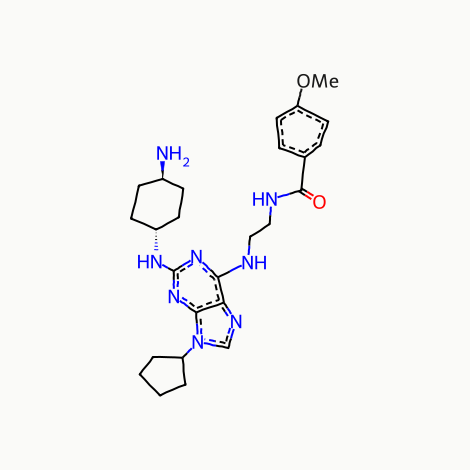 COc1ccc(C(=O)NCCNc2nc(N[C@H]3CC[C@H](N)CC3)nc3c2ncn3C2CCCC2)cc1